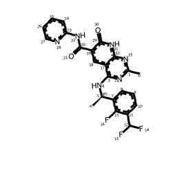 Cc1nc(N[C@H](C)c2cccc(C(F)F)c2F)c2cc(C(=O)Nc3ccccn3)c(=O)[nH]c2n1